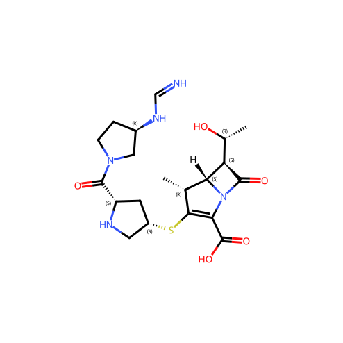 C[C@@H](O)[C@H]1C(=O)N2C(C(=O)O)=C(S[C@@H]3CN[C@H](C(=O)N4CC[C@@H](NC=N)C4)C3)[C@H](C)[C@H]12